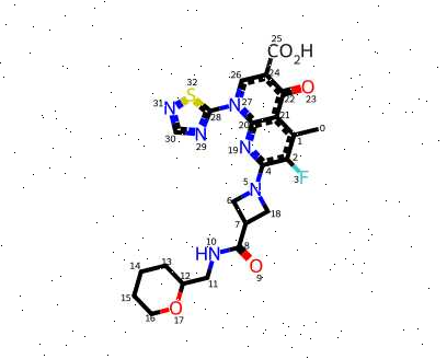 Cc1c(F)c(N2CC(C(=O)NCC3CCCCO3)C2)nc2c1c(=O)c(C(=O)O)cn2-c1ncns1